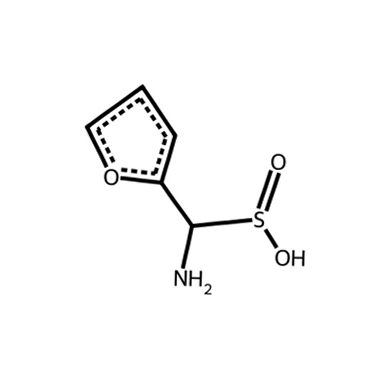 NC(c1ccco1)S(=O)O